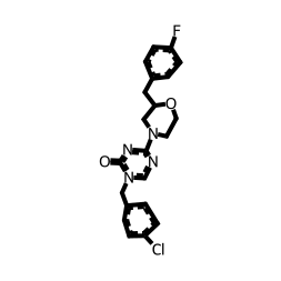 O=c1nc(N2CCOC(Cc3ccc(F)cc3)C2)ncn1Cc1ccc(Cl)cc1